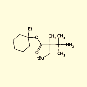 CCC1(OC(=O)C(C)(CC(C)(C)C)C(C)(C)N)CCCCC1